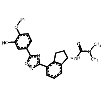 CC(C)Oc1ccc(-c2nc(-c3cccc4c3CC[C@@H]4NC(=O)N(C)C)no2)cc1C#N